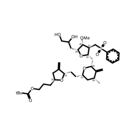 C=C1C[C@H](CCCOC(=O)C(C)(C)C)O[C@H]1CC[C@H]1C[C@@H](C)C(=C)[C@@H](C[C@@H]2O[C@H](CC(O)CO)[C@H](OC)[C@H]2CS(=O)(=O)c2ccccc2)O1